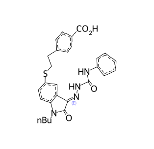 CCCCN1C(=O)/C(=N/NC(=O)Nc2ccccc2)c2cc(SCCc3ccc(C(=O)O)cc3)ccc21